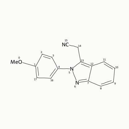 COc1ccc(-n2nc3ccccc3c2CC#N)cc1